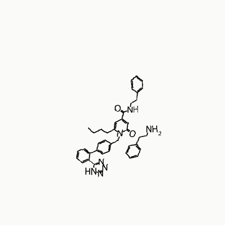 CCCCc1cc(C(=O)NCCc2ccccc2)cc(=O)n1Cc1ccc(-c2ccccc2-c2nnn[nH]2)cc1.NCCc1ccccc1